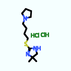 CC1(C)CNC(SCCCCN2CCCC2)=N1.Cl.Cl